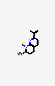 C=C(C)c1ccc2c(n1)N(C)C(CCC)CC2